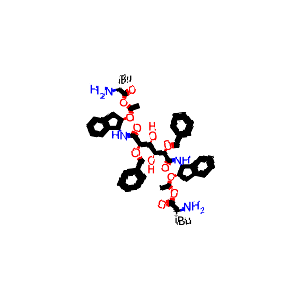 CC[C@H](C)[C@H](N)C(=O)OC(C)O[C@@H]1Cc2ccccc2[C@@H]1NC(=O)[C@H](OCc1ccccc1)[C@H](O)[C@@H](O)[C@@H](OCc1ccccc1)C(=O)N[C@H]1c2ccccc2C[C@H]1OC(C)OC(=O)[C@@H](N)[C@@H](C)CC